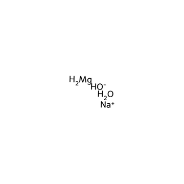 O.[MgH2].[Na+].[OH-]